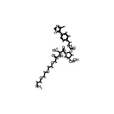 Cc1ncsc1-c1ccc(CNC(=O)[C@@H]2C[C@@H](O)CN2C(=O)C(NC(=O)COCCOCCOCCN)C(C)(C)C)cc1.Cl